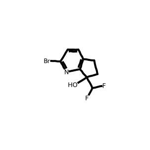 OC1(C(F)F)CCc2ccc(Br)nc21